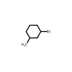 CCC1[CH]C(C)CCC1